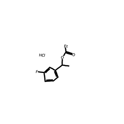 CCC(=O)OC(C)c1cccc(F)c1.Cl